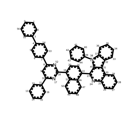 c1ccc(-c2ccc(-c3cc(-c4ccccc4)nc(-c4ccc(-c5nc6ccccc6c6c7ccccc7n(-c7ccccc7)c56)c5ccccc45)n3)cc2)cc1